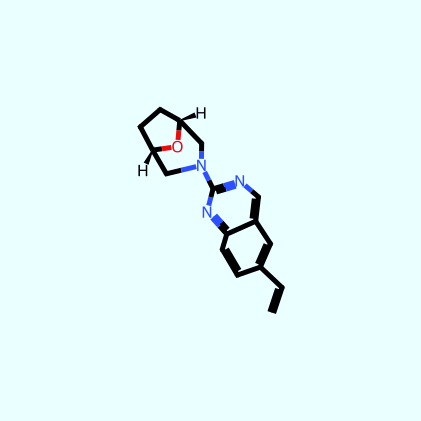 C=Cc1ccc2nc(N3C[C@H]4CC[C@@H](C3)O4)ncc2c1